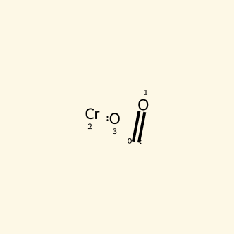 [C]=O.[Cr].[O]